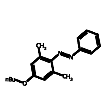 CCCCOc1cc(C)c(N=Nc2ccccc2)c(C)c1